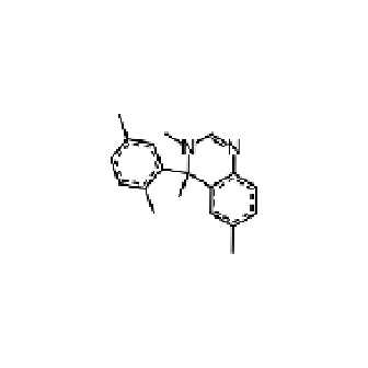 Cc1ccc(C)c(C2(C)c3cc(C)ccc3N=CN2C)c1